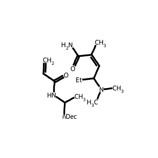 C=CC(=O)NC(C)CCCCCCCCCC.CCC(C=C(C)C(N)=O)N(C)C